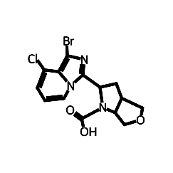 O=C(O)N1C(c2nc(Br)c3c(Cl)cccn23)CC2COCC21